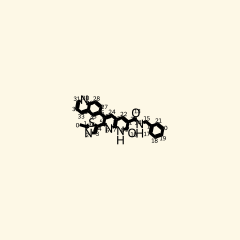 Cc1ncc(-c2nc3[nH]c(=O)c(C(=O)NCc4ccccc4)cc3cc2-c2ccc3ncccc3c2)s1